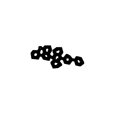 c1ccc(-c2ccc(-c3c4ccccc4c(-c4ccc5c6c(cccc46)Oc4ccccc4-5)c4ccccc34)cc2)cc1